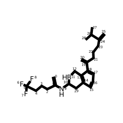 C=C(CCCC(F)(F)F)NC1BCc2c(cccc2C(=C)CCCC(=C)C(C)C)C1